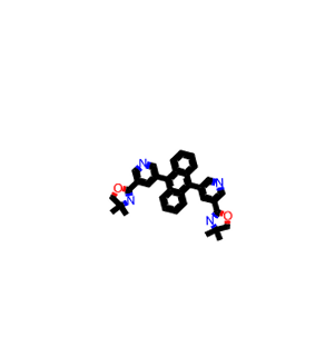 CC1(C)COC(c2cncc(-c3c4ccccc4c(-c4cncc(C5=NC(C)(C)CO5)c4)c4ccccc34)c2)=N1